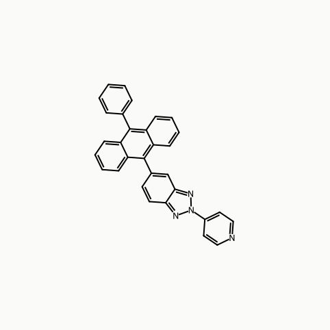 c1ccc(-c2c3ccccc3c(-c3ccc4nn(-c5ccncc5)nc4c3)c3ccccc23)cc1